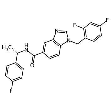 C[C@H](NC(=O)c1ccc2c(c1)ncn2Cc1ccc(F)cc1F)c1ccc(F)cc1